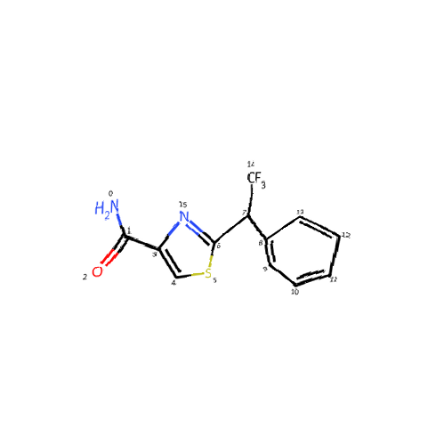 NC(=O)c1csc(C(c2ccccc2)C(F)(F)F)n1